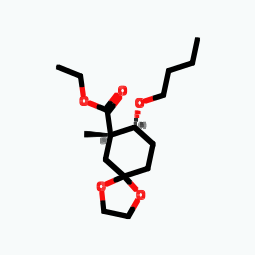 CCCCO[C@@H]1CCC2(C[C@]1(C)C(=O)OCC)OCCO2